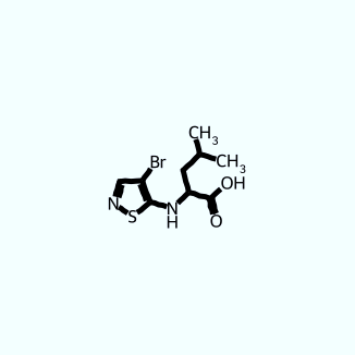 CC(C)CC(Nc1sncc1Br)C(=O)O